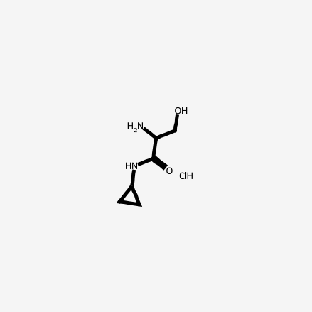 Cl.NC(CO)C(=O)NC1CC1